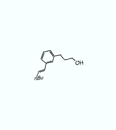 CCCCC=Cc1cccc(CCCO)c1